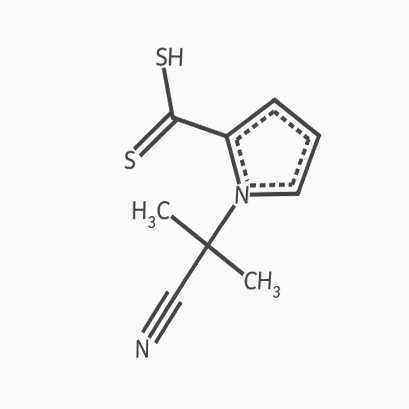 CC(C)(C#N)n1cccc1C(=S)S